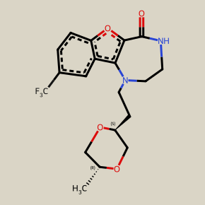 C[C@@H]1CO[C@@H](CCN2CCNC(=O)c3oc4ccc(C(F)(F)F)cc4c32)CO1